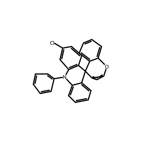 Clc1ccc2c(c1)N(c1ccccc1)c1ccccc1C21c2ccccc2Oc2ccccc21